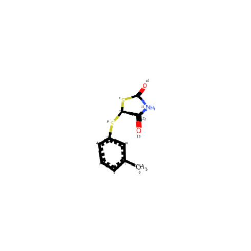 Cc1cccc(SC2SC(=O)NC2=O)c1